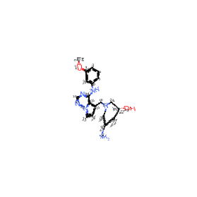 CCOc1cccc(Nc2ncnn3ccc(CN4CC(N)C[C@@H](O)C4)c23)c1